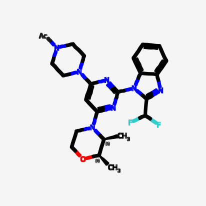 CC(=O)N1CCN(c2cc(N3CCO[C@H](C)[C@@H]3C)nc(-n3c(C(F)F)nc4ccccc43)n2)CC1